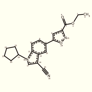 CCOC(=O)c1cc(-c2ccc3c(c2)c(C#N)cn3C2CCCC2)on1